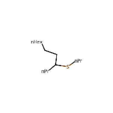 [CH2]CCSC(CCC)CCCCCCCC